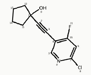 OC1(C#Cc2cnc(Cl)cc2F)CCCC1